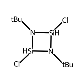 CC(C)(C)N1[SiH](Cl)N(C(C)(C)C)[SiH]1Cl